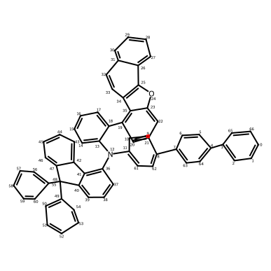 c1ccc(-c2ccc(-c3ccc(N(c4ccccc4-c4cccc5oc6c7ccccc7ccc6c45)c4cccc5c4-c4ccccc4C5(c4ccccc4)c4ccccc4)cc3)cc2)cc1